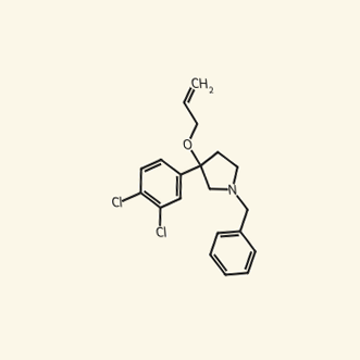 C=CCOC1(c2ccc(Cl)c(Cl)c2)CCN(Cc2ccccc2)C1